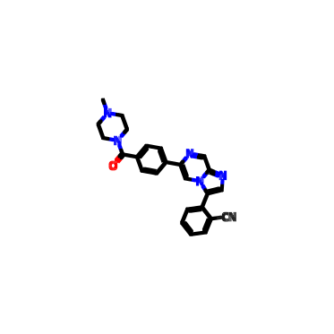 CN1CCN(C(=O)c2ccc(-c3cn4c(-c5ccccc5C#N)cnc4cn3)cc2)CC1